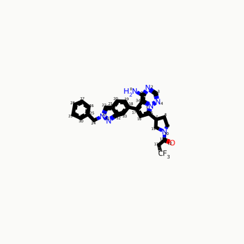 Nc1ncnn2c(C3CCN(C(=O)CC(F)(F)F)C3)cc(-c3ccc4cn(Cc5ccccc5)nc4c3)c12